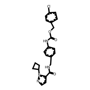 O=C(Nc1ccc(CNC(=O)c2ccnn2C2CCC2)cc1)OCc1ccc(Cl)cc1